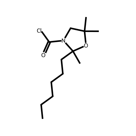 CCCCCCC1(C)OC(C)(C)CN1C(=O)Cl